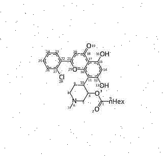 CCCCCCC(=O)OC1CN(C)CCC1c1c(O)cc(O)c2c(=O)cc(-c3ccccc3Cl)oc12